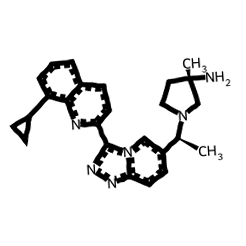 C[C@@H](c1ccc2nnc(-c3ccc4cccc(C5CC5)c4n3)n2c1)N1CC[C@](C)(N)C1